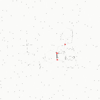 Cc1nc2ccccc2n1C1C[C@H]2CC[C@@H](C1)N2CCC1(c2cccc(F)c2)CCN(C(=O)[C@@H](NC(=O)C(C)(C)C)C(C)(C)C)CC1